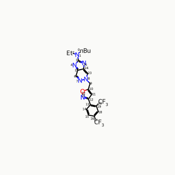 CCCCN(CC)c1nc2cnn(Cc3cc(-c4ccc(C(F)(F)F)cc4C(F)(F)F)no3)cc-2n1